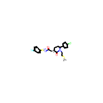 CC(C)SCCN1C(=O)[C@@H](CC(=O)NSc2ccc(F)cc2)CCC1c1ccc(Cl)cc1